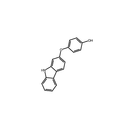 Oc1ccc(Oc2ccc3c(c2)[nH]c2ccccc23)cc1